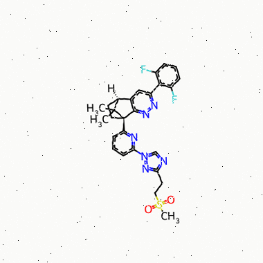 CC1(C)[C@H]2CC[C@@]1(c1cccc(-n3cnc(CCS(C)(=O)=O)n3)n1)c1nnc(-c3c(F)cccc3F)cc12